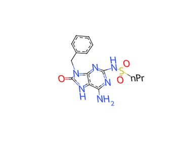 CCCS(=O)(=O)Nc1nc(N)c2[nH]c(=O)n(Cc3ccccc3)c2n1